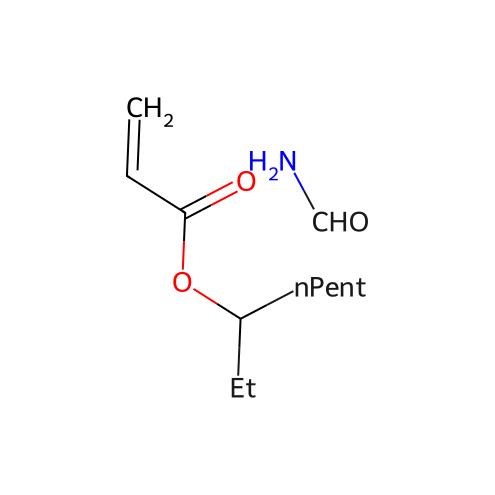 C=CC(=O)OC(CC)CCCCC.NC=O